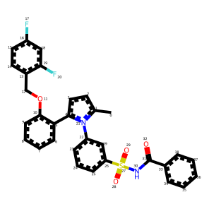 Cc1ccc(-c2ccccc2OCc2ccc(F)cc2F)n1-c1cccc(S(=O)(=O)NC(=O)c2ccccc2)c1